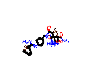 NC(=O)C1(C(N)=O)SSC(C(=O)NCc2ccc(N=C(N)c3cccs3)cc2)C1(C(N)=O)C(N)=O